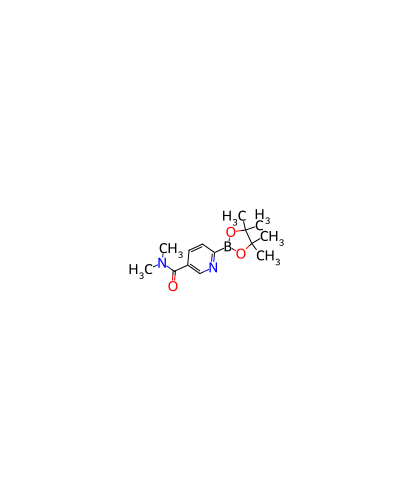 CN(C)C(=O)c1ccc(B2OC(C)(C)C(C)(C)O2)nc1